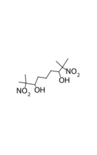 CC(C)(C(O)CCCC(O)C(C)(C)[N+](=O)[O-])[N+](=O)[O-]